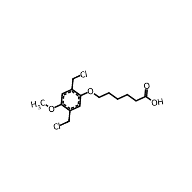 COc1cc(CCl)c(OCCCCCC(=O)O)cc1CCl